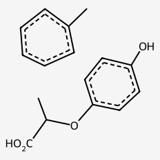 CC(Oc1ccc(O)cc1)C(=O)O.Cc1ccccc1